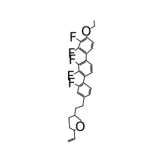 C=CC1CCC(CCc2ccc(-c3ccc(-c4ccc(OCC)c(F)c4F)c(F)c3F)c(F)c2)CO1